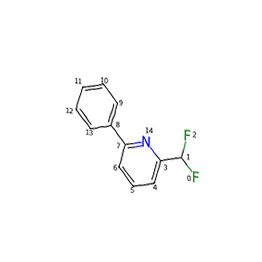 FC(F)c1cccc(-c2ccccc2)n1